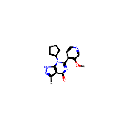 CCOc1cnccc1-c1nc(=O)c2c(CC)n[nH]c2n1C1CCCC1